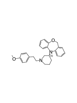 COc1ccc(CCN2CCC[C@H](N3c4ccccc4COc4ccccc43)C2)cc1